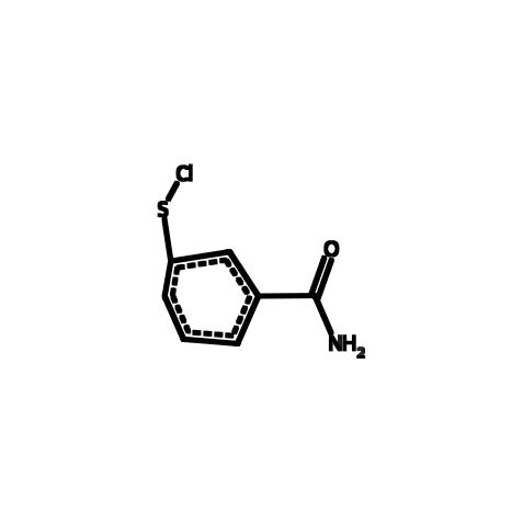 NC(=O)c1cccc(SCl)c1